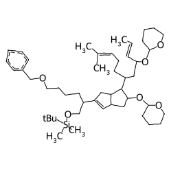 CC=CC(CC(CCC=C(C)C)C1C(OC2CCCCO2)CC2C=C(C(CCCCOCc3ccccc3)CO[Si](C)(C)C(C)(C)C)CC21)OC1CCCCO1